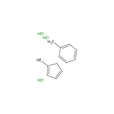 Cc1ccccc1.Cl.Cl.Cl.[Hf][C]1=CC=CC1